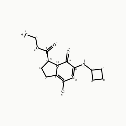 CCOC(=O)[C@@H]1CCc2c(Cl)nc(NC3CCC3)c(=O)n21